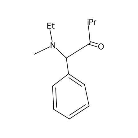 CCN(C)C(C(=O)C(C)C)c1ccccc1